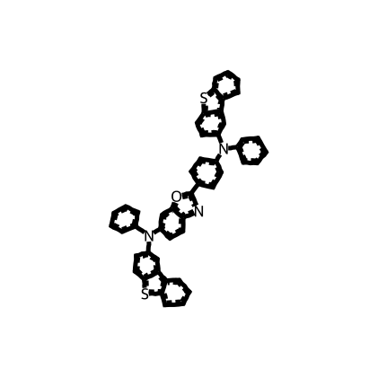 c1ccc(N(c2ccc(-c3nc4ccc(N(c5ccccc5)c5ccc6sc7ccccc7c6c5)cc4o3)cc2)c2ccc3sc4ccccc4c3c2)cc1